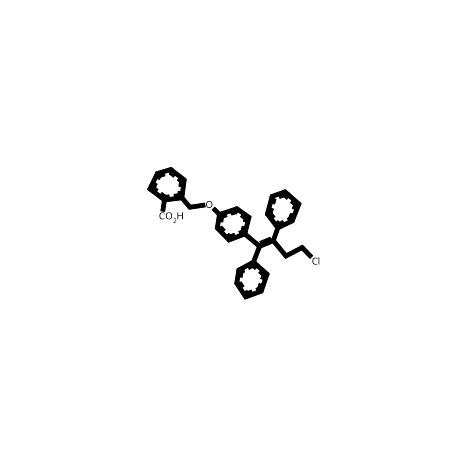 O=C(O)c1ccccc1COc1ccc(/C(=C(/CCCl)c2ccccc2)c2ccccc2)cc1